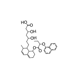 CCC(Oc1cccc2ccccc12)C(=O)OC1CCC=C2C=CC(C)C(CCC(O)CC(O)CC(=O)O)C21